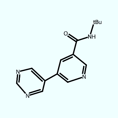 CC(C)(C)NC(=O)c1cncc(-c2cncnc2)c1